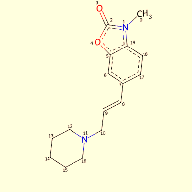 Cn1c(=O)oc2cc(C=CCN3CCCCC3)ccc21